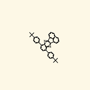 CC(C)(C)c1ccc(-c2ccc(-c3ccc(C(C)(C)C)cc3)c3nc4c(nc23)-c2cccc3cccc-4c23)cc1